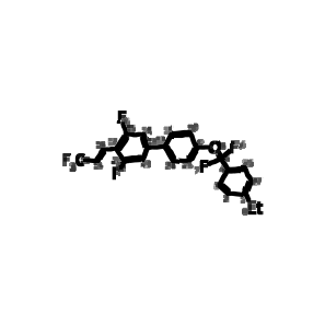 CCc1ccc(C(F)(F)Oc2ccc(-c3cc(F)c(/C=C/C(F)(F)F)c(F)c3)cc2)cc1